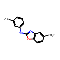 CCOC(=O)c1ccc2oc(Nc3cccc([N+](=O)[O-])c3)nc2c1